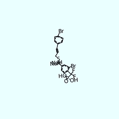 O=P(O)(O)C(F)(F)c1ccc(CSCC#Cc2ccc(Br)cc2)cc1Br.[NaH].[NaH]